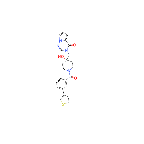 O=C(c1cccc(-c2ccsc2)c1)N1CCC(O)(Cn2cnn3cccc3c2=O)CC1